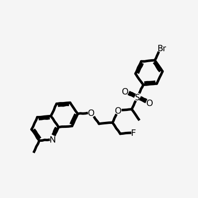 Cc1ccc2ccc(OCC(CF)OC(C)S(=O)(=O)c3ccc(Br)cc3)cc2n1